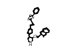 c1ccc(-c2nc(CCc3ccc(C4CCNCC4OCc4ccc5ccccc5c4)cc3)no2)cc1